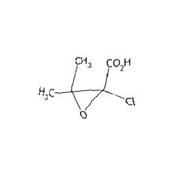 CC1(C)OC1(Cl)C(=O)O